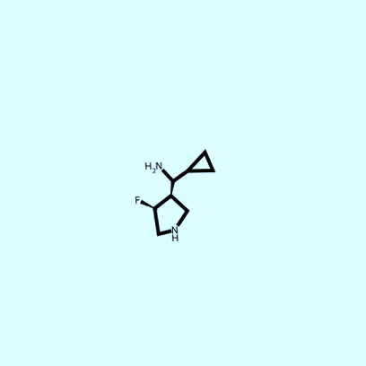 NC(C1CC1)[C@H]1CNC[C@H]1F